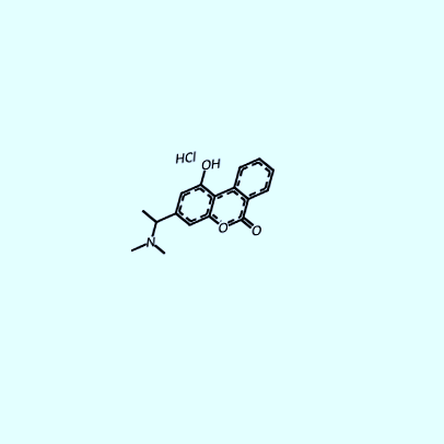 CC(c1cc(O)c2c(c1)oc(=O)c1ccccc12)N(C)C.Cl